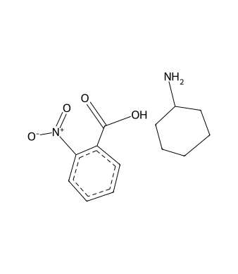 NC1CCCCC1.O=C(O)c1ccccc1[N+](=O)[O-]